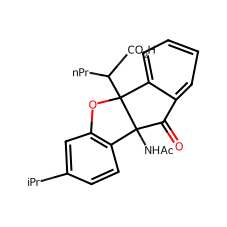 CCCC(C(=O)O)C12Oc3cc(C(C)C)ccc3C1(NC(C)=O)C(=O)c1ccccc12